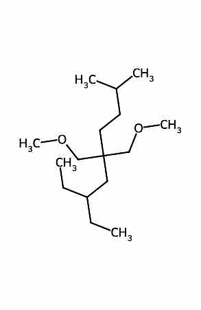 CCC(CC)CC(CCC(C)C)(COC)COC